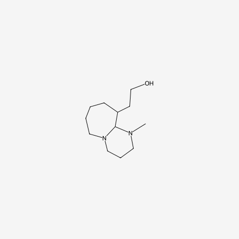 CN1CCCN2CCCCC(CCO)C12